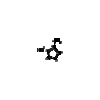 Cl.Nn1cncn1